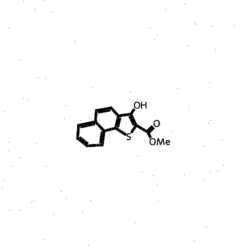 COC(=O)c1sc2c(ccc3ccccc32)c1O